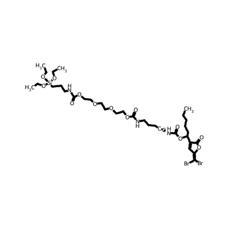 CCCCCC(OC(=O)NCCCCCNC(=O)OCCOCCOCCOC(=O)NCCC[Si](OCC)(OCC)OCC)C1=CC(=C(Br)Br)OC1=O